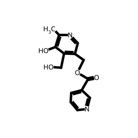 Cc1ncc(COC(=O)c2cccnc2)c(CO)c1O